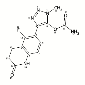 Cn1nnc(-c2ccc3c(c2F)CCC(=O)N3)c1OC(N)=O